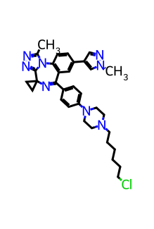 Cc1nnc2n1-c1ccc(-c3cnn(C)c3)cc1C(c1ccc(N3CCN(CCCCCCCl)CC3)cc1)=NC21CC1